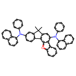 CC1(C)c2cc(N(c3ccccc3)c3cccc4ccccc34)ccc2-c2c1cc(N(c1ccccc1)c1cccc3ccccc13)c1c2oc2ccccc21